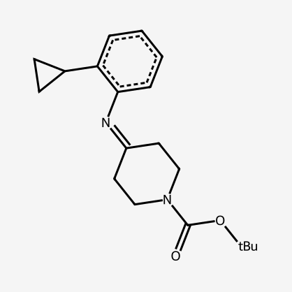 CC(C)(C)OC(=O)N1CCC(=Nc2ccccc2C2CC2)CC1